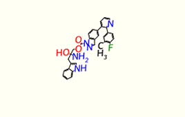 Cc1cc(-c2ncccc2-c2ccc3c(cnn3C(=O)OC[C@@](N)(O)Cc3c[nH]c4ccccc34)c2)ccc1F